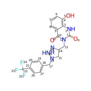 O=c1[nH]c2c(O)cccc2c(=O)n1CC1CN(Cc2ccc(C(F)(F)F)cc2)NN1